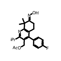 CC(=O)OCc1c(C(C)C)nc2c(c1-c1ccc(F)cc1)CCC(=NO)C2(C)C